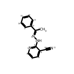 C/C(=N\Nc1ncccc1C#N)c1ccccc1